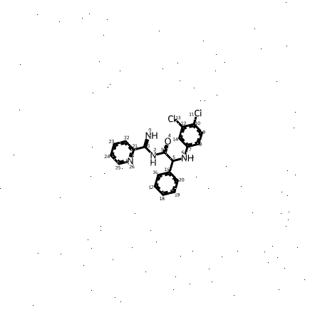 N=C(NC(=O)C(Nc1ccc(Cl)c(Cl)c1)c1ccccc1)c1ccccn1